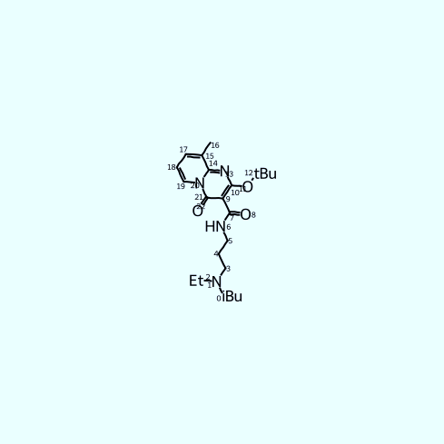 CCC(C)N(CC)CCCNC(=O)c1c(OC(C)(C)C)nc2c(C)cccn2c1=O